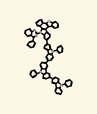 c1ccc(-c2nc(-n3c4cc(-c5ccc6c7cc(-c8ccc9c(c8)c8cc(-c%10ccc%11c(c%10)c%10ccccc%10n%11-c%10ccccc%10)ccc8n9-c8ccccc8)ccc7n(-c7ccccc7)c6c5)ccc4c4c5c6ccccc6oc5c5ccccc5c43)nc3ccccc23)cc1